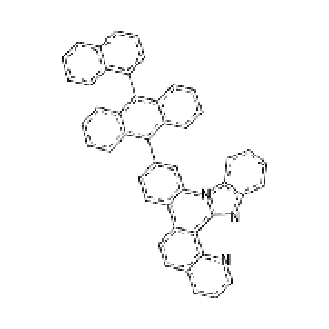 c1ccc2c(-c3c4ccccc4c(-c4ccc5c6ccc7cccnc7c6c6nc7ccccc7n6c5c4)c4ccccc34)cccc2c1